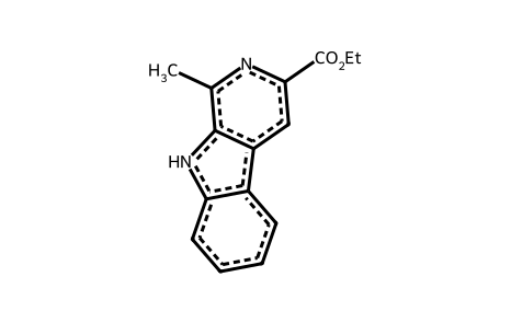 CCOC(=O)c1cc2c([nH]c3ccccc32)c(C)n1